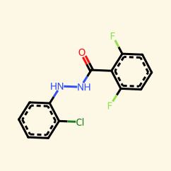 O=C(NNc1ccccc1Cl)c1c(F)cccc1F